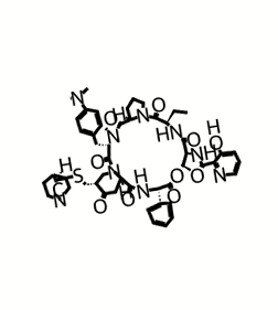 CC[C@H]1NC(=O)[C@@H](NC(=O)c2ncccc2O)[C@@H](C)OC(=O)[C@H](c2ccccc2)NC(=O)[C@@H]2CC(=O)[C@H](CS[C@H]3CN4CCC3CC4)CN2C(=O)[C@H](Cc2ccc(N(C)C)cc2)N(C)C(=O)[C@@H]2CCCN2C1=O